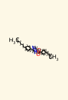 CCCCCCc1ccc(-c2cnc(OC(=O)c3ccc(CCCC)cc3)cn2)cc1